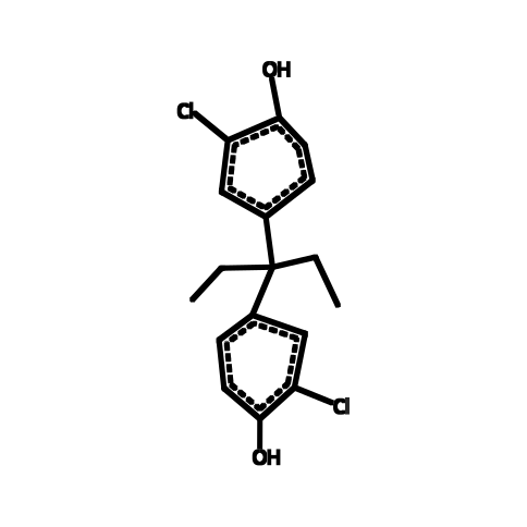 CCC(CC)(c1ccc(O)c(Cl)c1)c1ccc(O)c(Cl)c1